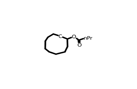 CCCC(=O)OC1CCCCCCCCC1